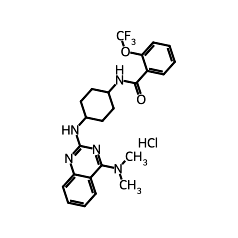 CN(C)c1nc(NC2CCC(NC(=O)c3ccccc3OC(F)(F)F)CC2)nc2ccccc12.Cl